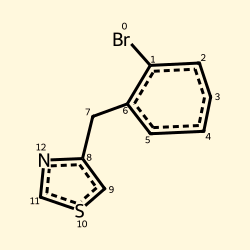 Brc1ccccc1Cc1cscn1